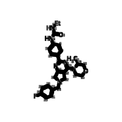 CCNC(=O)Nc1ccc(-c2nc3c(c(N4CCOC[C@@H]4C)n2)CN(Cc2ccc(F)cc2)C3)cc1